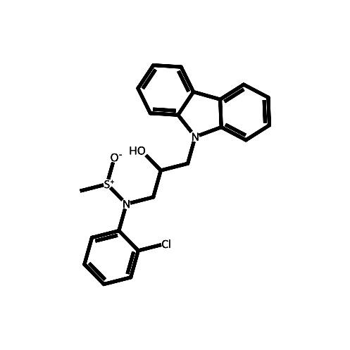 C[S+]([O-])N(CC(O)Cn1c2ccccc2c2ccccc21)c1ccccc1Cl